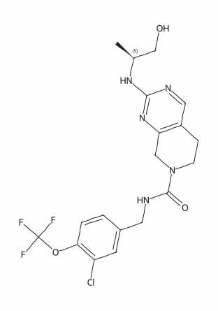 C[C@@H](CO)Nc1ncc2c(n1)CN(C(=O)NCc1ccc(OC(F)(F)F)c(Cl)c1)CC2